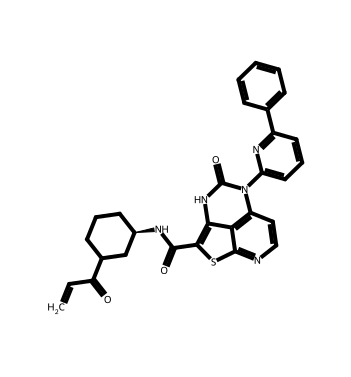 C=CC(=O)C1CCC[C@@H](NC(=O)c2sc3nccc4c3c2NC(=O)N4c2cccc(-c3ccccc3)n2)C1